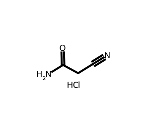 Cl.N#CCC(N)=O